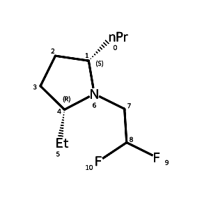 CCC[C@H]1CC[C@@H](CC)N1CC(F)F